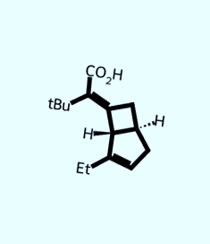 CCC1=CC[C@@H]2CC(=C(C(=O)O)C(C)(C)C)[C@@H]12